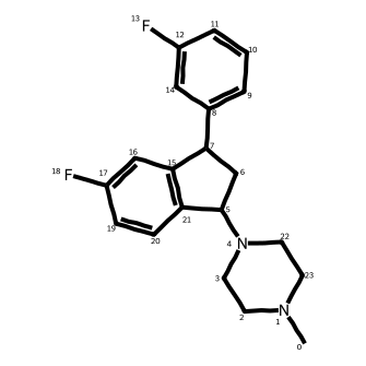 CN1CCN(C2CC(c3cccc(F)c3)c3cc(F)ccc32)CC1